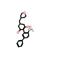 Cc1ccc(-c2ccccc2)cc1C1=C(O)CC(CC2CCOCC2)CC1=O